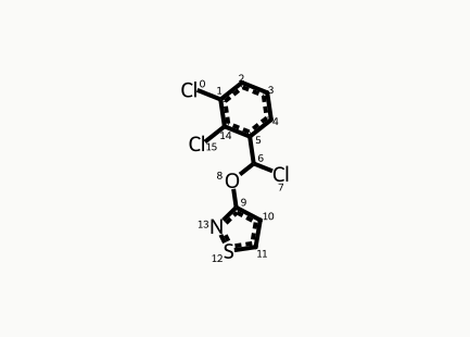 Clc1cccc(C(Cl)Oc2ccsn2)c1Cl